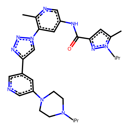 Cc1ncc(NC(=O)c2cc(C)n(C(C)C)n2)cc1-n1cc(-c2cncc(N3CCN(C(C)C)CC3)c2)nn1